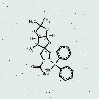 C[C@H]1[C@H]2OC(C)(C)O[C@H]2O[C@]1(COC(=O)C(C)(C)C)CO[Si](c1ccccc1)(c1ccccc1)C(C)(C)C